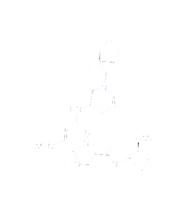 CNc1cc(Nc2cccn(C3[C@H]4COC[C@@H]34)c2=O)nn2c(C(=O)NC3CC[C@@H]3OC)cnc12